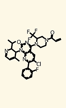 C=CC(=O)N1CCN(c2nc(=O)n(C3C(C)=CC=NC3C(C)C)c3nc(-c4ccccc4F)c(Cl)cc23)C(C(F)(F)F)C1